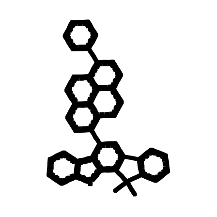 CC1(C)c2ccccc2-c2cc(-c3ccc4ccc5c(-c6ccccc6)ccc6ccc3c4c65)c3c(sc4ccccc43)c21